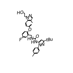 C=C(/C=C\c1c(C)cnn1CCO)Oc1ccc(F)cc1CNC(=O)Nc1cc(C(C)(C)C)nn1-c1ccc(C)cc1